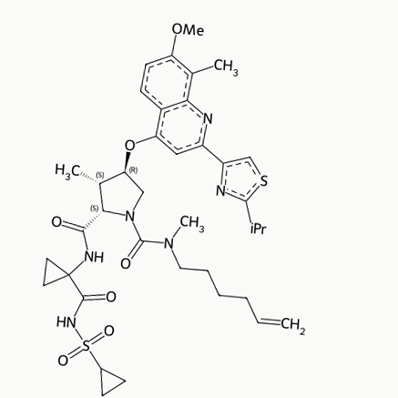 C=CCCCCN(C)C(=O)N1C[C@H](Oc2cc(-c3csc(C(C)C)n3)nc3c(C)c(OC)ccc23)[C@@H](C)[C@H]1C(=O)NC1(C(=O)NS(=O)(=O)C2CC2)CC1